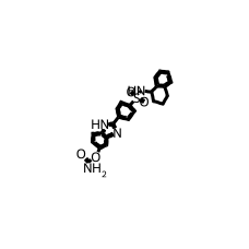 NC(=O)Oc1ccc2[nH]c(-c3ccc(S(=O)(=O)NC4CCCc5ccccc54)cc3)nc2c1